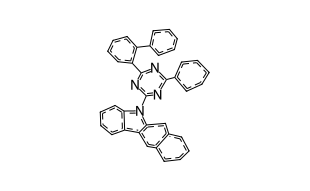 c1ccc(-c2nc(-c3ccccc3-c3ccccc3)nc(-n3c4ccccc4c4cc5ccccc5cc43)n2)cc1